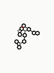 c1ccc(-c2ccc(-c3ccc4ccccc4c3)cc2N(c2ccc(-c3cccc(-n4c5ccccc5c5ccccc54)c3)cc2)c2cccc3sc4ccccc4c23)cc1